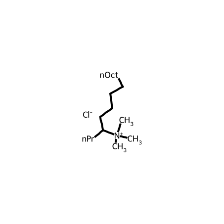 CCCCCCCCCCCCC(CCC)[N+](C)(C)C.[Cl-]